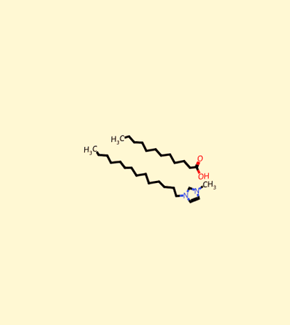 CCCCCCCCCCCC(=O)O.CCCCCCCCCCCCCCN1C=CN(C)C1